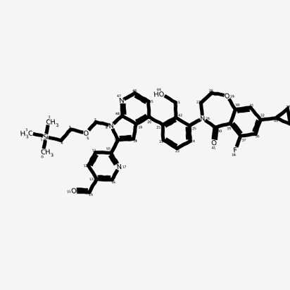 C[Si](C)(C)CCOCn1c(-c2ccc(C=O)cn2)cc2c(-c3cccc(N4CCOc5cc(C6CC6)cc(F)c5C4=O)c3CO)ccnc21